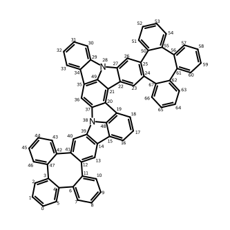 c1ccc2c(c1)-c1ccccc1-c1cc3c4cccc5c6c7c8cc9c(cc8n8c%10ccccc%10c(cc6n(c3cc1-c1ccccc1-2)c45)c78)-c1ccccc1-c1ccccc1-c1ccccc1-9